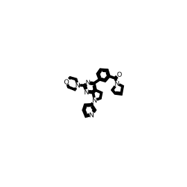 O=C(c1cccc(-c2nc(N3CCOCC3)nc3c2CCN3c2cccnc2)c1)N1CC=CC1